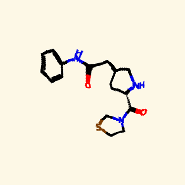 O=C(CC1CN[C@H](C(=O)N2CCSC2)C1)Nc1ccccc1